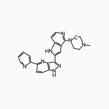 CN1CCN(c2nccc3[nH]c(-c4n[nH]c5ccc(-c6ccccn6)nc45)cc23)CC1